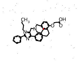 CCCCn1c(-c2ccccc2)nc(-c2ccccc2)c1CN(Cc1ccc(OCC(=O)O)cc1)CC1CCCCC1